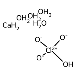 O.O.O.O.[CaH2].[O-][Cl+3]([O-])([O-])O